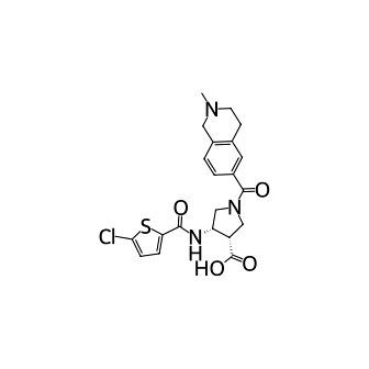 CN1CCc2cc(C(=O)N3C[C@H](C(=O)O)[C@H](NC(=O)c4ccc(Cl)s4)C3)ccc2C1